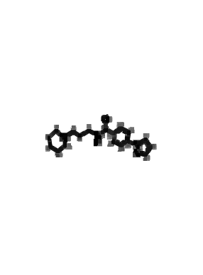 O=C(NCCCN1CCCCC1)c1ccc(-n2cccn2)cc1